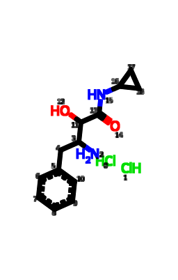 Cl.Cl.NC(Cc1ccccc1)C(O)C(=O)NC1CC1